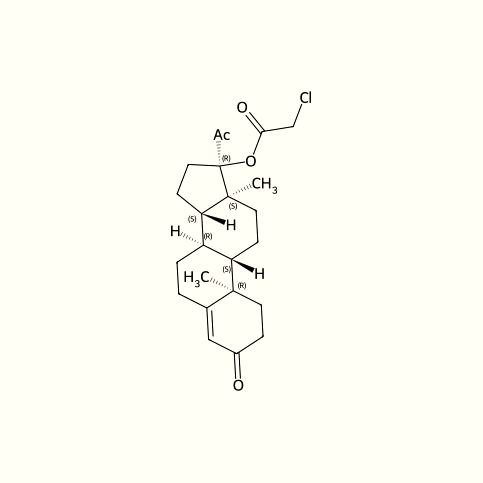 CC(=O)[C@@]1(OC(=O)CCl)CC[C@H]2[C@@H]3CCC4=CC(=O)CC[C@]4(C)[C@H]3CC[C@@]21C